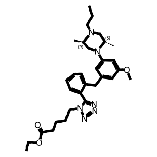 CCCN1C[C@H](C)N(c2cc(Cc3ccccc3-c3nnnn3CCCCC(=O)OCC)cc(OC)c2)C[C@H]1C